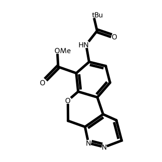 COC(=O)c1c(NC(=O)C(C)(C)C)ccc2c1OCc1nnccc1-2